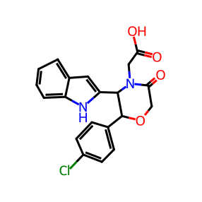 O=C(O)CN1C(=O)COC(c2ccc(Cl)cc2)C1c1cc2ccccc2[nH]1